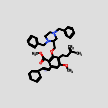 C=C(C)CCc1c(OC)cc(/C=C/c2ccccc2)c(C(=O)OC)c1OCC1CN(Cc2ccccc2)CCN1Cc1ccccc1